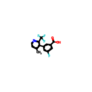 Cc1ccnc(C(F)(F)F)c1-c1cc(F)cc(C(=O)O)c1